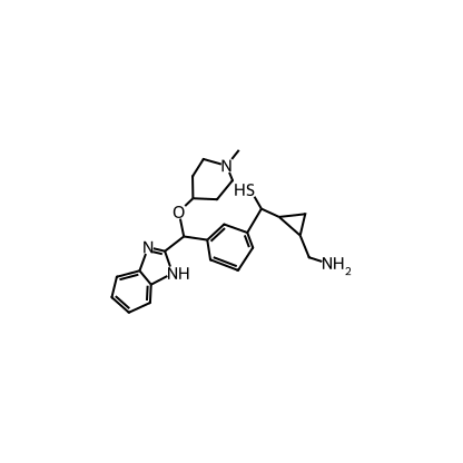 CN1CCC(OC(c2cccc(C(S)C3CC3CN)c2)c2nc3ccccc3[nH]2)CC1